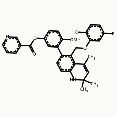 COc1ccc(OC(=O)c2cccnc2)cc1-c1ccc2c(c1COc1cc(F)ccc1C)C(C)=CC(C)(C)N2